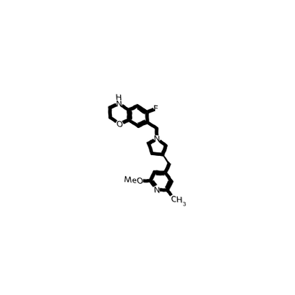 COc1cc(C[C@H]2CCN(Cc3cc4c(cc3F)NCCO4)C2)cc(C)n1